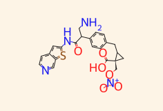 NCC(C(=O)Nc1cc2ccncc2s1)c1ccc(CC2C[C@]2(CO[N+](=O)[O-])C(=O)O)cc1